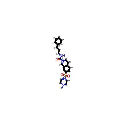 CN1CCN(S(=O)(=O)c2ccc3c(c2)CN(C(=O)NCCCc2ccccc2)CC3)CC1